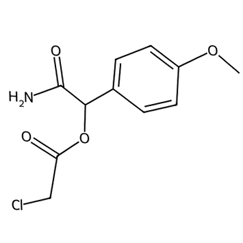 COc1ccc(C(OC(=O)CCl)C(N)=O)cc1